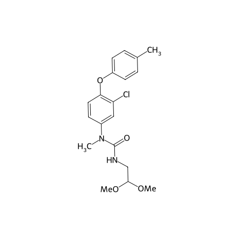 COC(CNC(=O)N(C)c1ccc(Oc2ccc(C)cc2)c(Cl)c1)OC